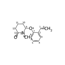 C=Cc1ccccc1OC1CCCC(=O)N1C